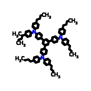 CCCCc1ccc(N(c2ccc(CCCC)cc2)c2ccc(-c3cc(-c4ccc(N(c5ccc(CCCC)cc5)c5ccc(CCCC)cc5)cc4)cc(-c4ccc(N(c5ccc(CCCC)cc5)c5ccc(C(C)CCC)cc5)cc4)c3)cc2)cc1